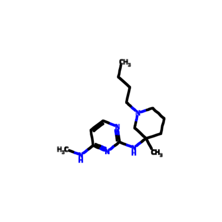 CCCCN1CCCC(C)(Nc2nccc(NC)n2)C1